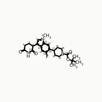 Cn1cc(C2CCC(=O)NC2=O)c2cc(F)c(C3CCN(C(=O)OC(C)(C)C)CC3)cc21